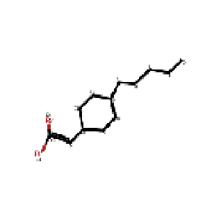 CCCCCC1CCC(C=C(Br)Br)CC1